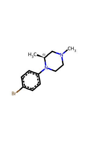 C[C@H]1CN(C)CCN1c1ccc(Br)cc1